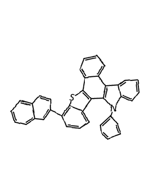 c1ccc(-n2c3ccccc3c3c4ccccc4c4sc5c(-c6ccc7ccccc7c6)cccc5c4c32)cc1